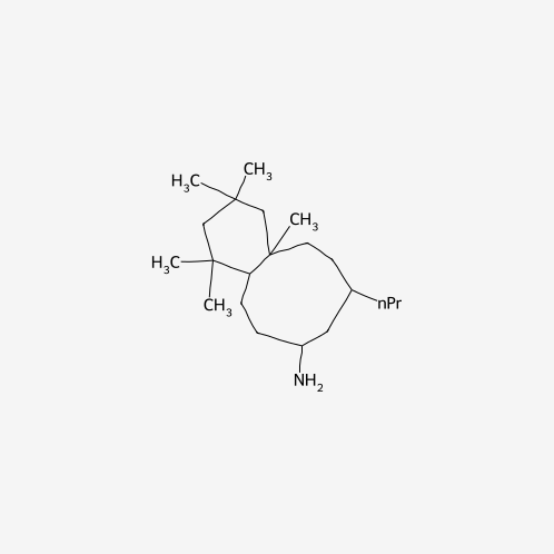 CCCC1CCC2(C)CC(C)(C)CC(C)(C)C2CCC(N)C1